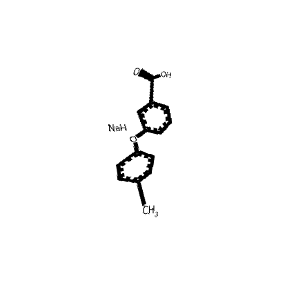 Cc1ccc(Oc2cccc(C(=O)O)c2)cc1.[NaH]